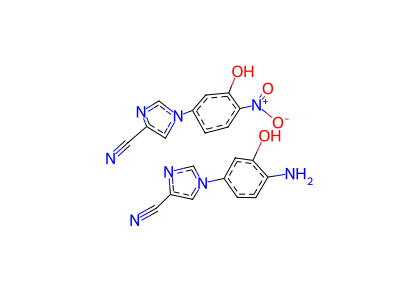 N#Cc1cn(-c2ccc(N)c(O)c2)cn1.N#Cc1cn(-c2ccc([N+](=O)[O-])c(O)c2)cn1